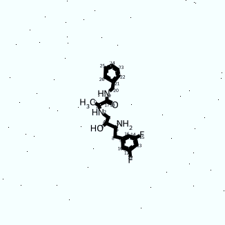 CC(NCC(O)C(N)Cc1cc(F)cc(F)c1)C(=O)NCc1ccccc1